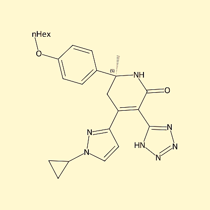 CCCCCCOc1ccc([C@]2(C)CC(c3ccn(C4CC4)n3)=C(c3nnn[nH]3)C(=O)N2)cc1